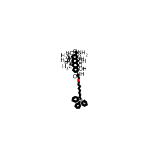 C[C@H]1c2ccc(NC(=O)CCCCCCCCCCC[PH](c3ccccc3)(c3ccccc3)c3ccccc3)c(O)c2C(=O)C2=C(O)[C@]3(O)C(=O)C(C(N)=O)=C(O)[C@@H](N(C)C)[C@@H]3[C@@H](O)[C@@H]21